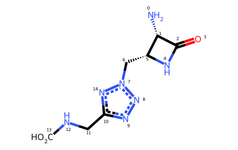 N[C@@H]1C(=O)N[C@@H]1Cn1nnc(CNC(=O)O)n1